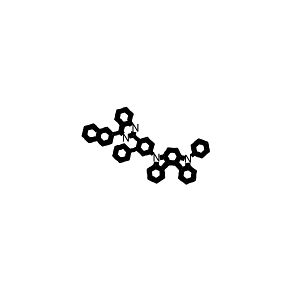 c1ccc(-c2cc(-n3c4ccccc4c4c5c6ccccc6n(-c6ccccc6)c5ccc43)ccc2-c2nc(-c3ccc4ccccc4c3)c3ccccc3n2)cc1